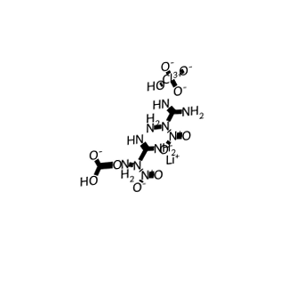 N=C(N)N(N)[N+](=O)[O-].N=C(N)N(N)[N+](=O)[O-].O=C([O-])O.[Li+].[O-][Cl+3]([O-])([O-])O